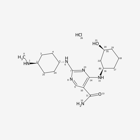 CN[C@H]1CC[C@H](Nc2ncc(C(N)=O)c(N[C@@H]3CCC[C@H](O)C3)n2)CC1.Cl